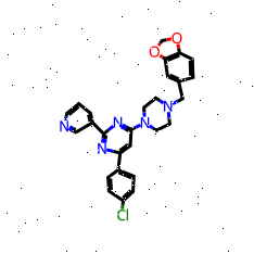 Clc1ccc(-c2cc(N3CCN(Cc4ccc5c(c4)OCO5)CC3)nc(-c3cccnc3)n2)cc1